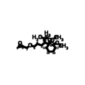 CCC(CCCOCC1CO1)C1(OC)CCCC[Si]1(OC)OC